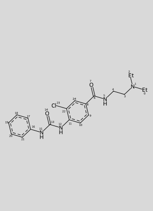 CCN(CC)CCNC(=O)c1ccc(NC(=O)Nc2ccccc2)c(Cl)c1